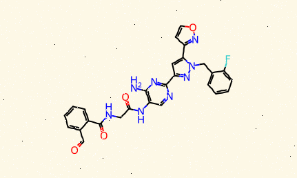 Nc1nc(-c2cc(-c3ccon3)n(Cc3ccccc3F)n2)ncc1NC(=O)CNC(=O)c1ccccc1C=O